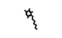 CCCCCC[CH]c1c(C)cc(C)c(C)c1C